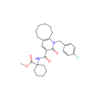 COC(=O)C1(NC(=O)c2cc3c(n(Cc4ccc(F)cc4)c2=O)CCCCCC3)CCCCC1